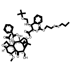 CCCSSCCOC(=O)O[C@@H](C(=O)O[C@H]1C[C@@]2(O)[C@@H](OC(=O)c3ccccc3)[C@@H]3[C@]4(OC(C)=O)CO[C@@H]4C[C@H](OC)[C@@]3(C)C(=O)[C@H](CO)C(=C1C)C2(C)C)[C@@H](NCOC(C)(C)C)c1ccccc1